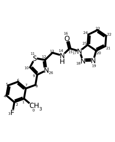 Cc1c(F)cccc1Cc1csc(CNC(=O)n2nnc3ccccc32)n1